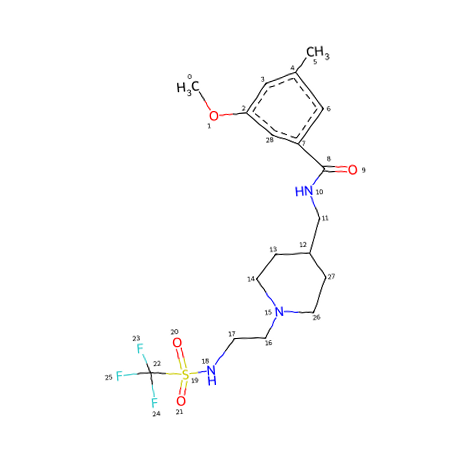 COc1cc(C)cc(C(=O)NCC2CCN(CCNS(=O)(=O)C(F)(F)F)CC2)c1